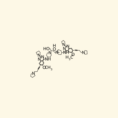 COc1cc2c(NC3CCN(CC(O)C(CO)N4CCC(Nc5nc(N6CCCC6)nc6cc(C#CCCN7CCCC7)c(OC)cc56)CC4)CC3)nc(N3CCCC3)nc2cc1C#CCCN1CCCC1